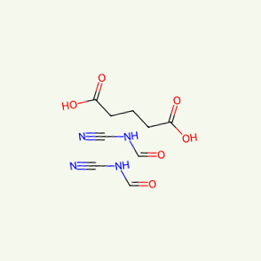 N#CNC=O.N#CNC=O.O=C(O)CCCC(=O)O